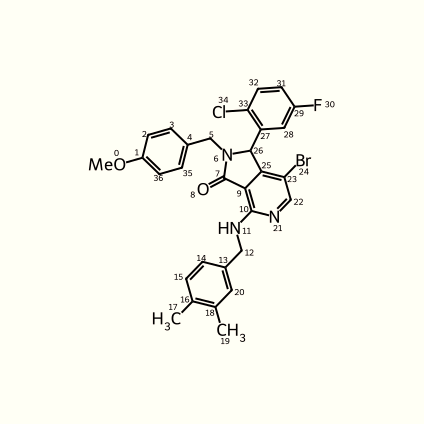 COc1ccc(CN2C(=O)c3c(NCc4ccc(C)c(C)c4)ncc(Br)c3C2c2cc(F)ccc2Cl)cc1